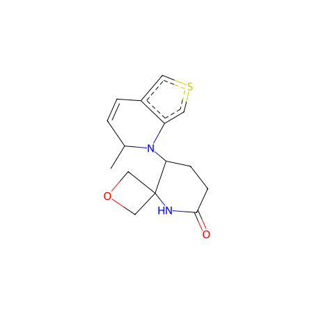 CC1C=Cc2cscc2N1C1CCC(=O)NC12COC2